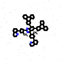 Cc1cc(-c2cccc3cccnc23)ccc1-c1nc(-c2ccc(-c3cccc4cccnc34)cc2C)c2cc(-c3ccc4c5ccccc5c5ccccc5c4c3)cc(-c3ccc4c5ccccc5c5ccccc5c4c3)c2n1